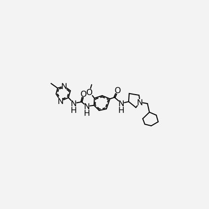 COc1cc(C(=O)NC2CCN(CC3CCCCC3)C2)ccc1NC(=O)Nc1cnc(C)cn1